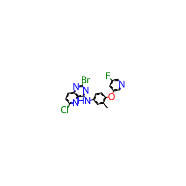 Cc1cc(Nc2nc(Br)nc3ccc(Cl)nc23)ccc1Oc1cncc(F)c1